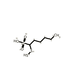 CCCCCC(SS)S(=O)(=O)O